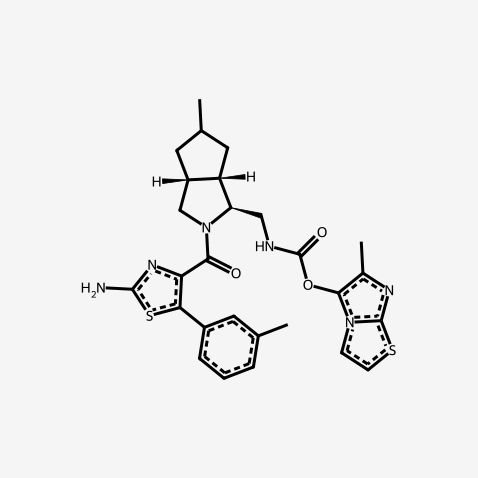 Cc1cccc(-c2sc(N)nc2C(=O)N2C[C@@H]3CC(C)C[C@@H]3[C@H]2CNC(=O)Oc2c(C)nc3sccn23)c1